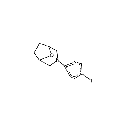 Ic1ccc(N2CC3CCC(C2)O3)nc1